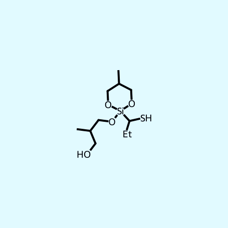 CCC(S)[Si]1(OCC(C)CO)OCC(C)CO1